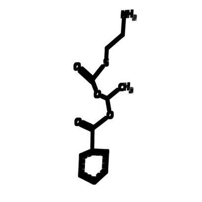 CC(OC(=O)SCCN)OC(=O)c1ccccc1